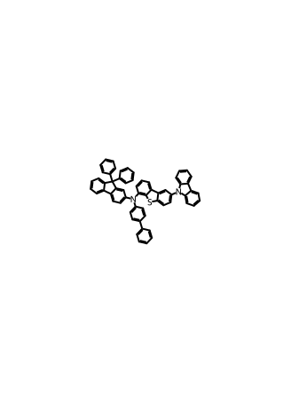 c1ccc(-c2ccc(N(c3ccc4c(c3)C(c3ccccc3)(c3ccccc3)c3ccccc3-4)c3cccc4c3sc3ccc(-n5c6ccccc6c6ccccc65)cc34)cc2)cc1